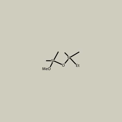 CC[Si](C)(C)O[Si](C)(C)OC